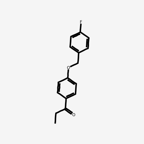 CCC(=O)c1ccc(OCc2ccc(F)cc2)cc1